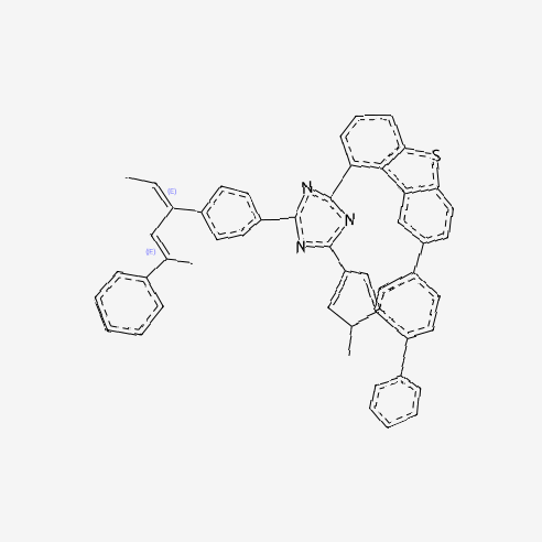 C/C=C(\C=C(/C)c1ccccc1)c1ccc(-c2nc(C3=CC(C)C=C3)nc(-c3cccc4sc5ccc(-c6ccc(-c7ccccc7)cc6)cc5c34)n2)cc1